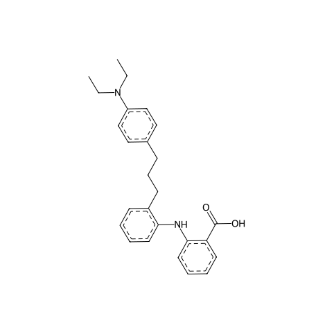 CCN(CC)c1ccc(CCCc2ccccc2Nc2ccccc2C(=O)O)cc1